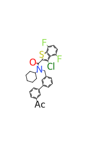 CC(=O)c1cccc(-c2cccc(CN(C(=O)c3sc4c(F)ccc(F)c4c3Cl)C3CCCCC3)c2)c1